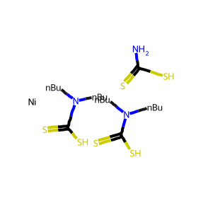 CCCCN(CCCC)C(=S)S.CCCCN(CCCC)C(=S)S.NC(=S)S.[Ni]